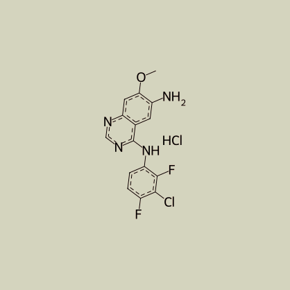 COc1cc2ncnc(Nc3ccc(F)c(Cl)c3F)c2cc1N.Cl